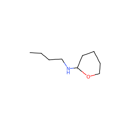 CCCCN[C]1CCCCO1